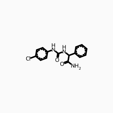 NC(=O)C(NC(=O)Nc1ccc(Cl)cc1)c1ccccc1